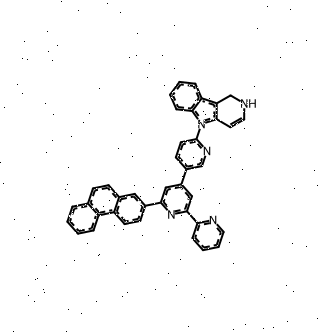 C1=Cc2c(c3ccccc3n2-c2ccc(-c3cc(-c4ccc5c(ccc6ccccc65)c4)nc(-c4ccccn4)c3)cn2)CN1